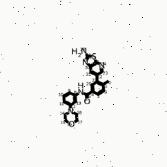 Cc1ccc(C(=O)Nc2cccc(N3CCOCC3)c2)cc1-c1cnc2sc(N)nc2c1